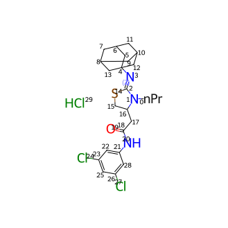 CCCN1/C(=N/C23CC4CC(CC(C4)C2)C3)SCC1CC(=O)Nc1cc(Cl)cc(Cl)c1.Cl